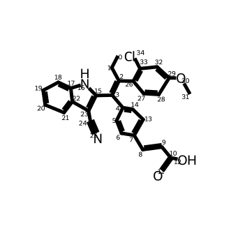 CC/C(=C(/c1ccc(/C=C/C(=O)O)cc1)c1[nH]c2ccccc2c1C#N)c1ccc(OC)cc1Cl